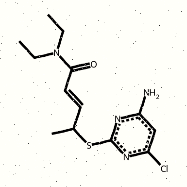 CCN(CC)C(=O)/C=C/C(C)Sc1nc(N)cc(Cl)n1